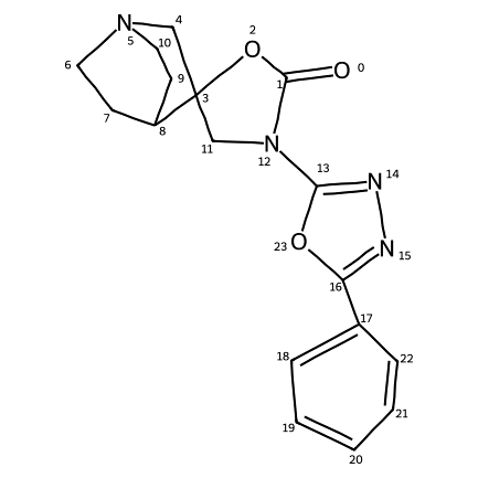 O=C1OC2(CN3CCC2CC3)CN1c1nnc(-c2ccccc2)o1